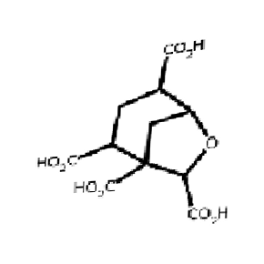 O=C(O)C1CC(C(=O)O)C2(C(=O)O)CC1OC2C(=O)O